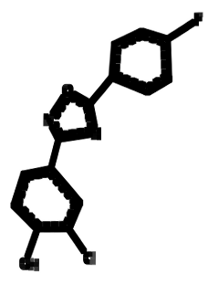 Oc1ccc(-c2noc(-c3ccc(F)cc3)n2)cc1Cl